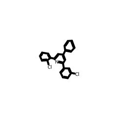 Clc1cccc(-c2cc(-c3ccccc3)cc(-c3ccccc3Cl)n2)c1